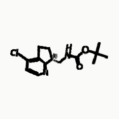 CC(C)(C)OC(=O)NC[C@H]1CCc2c(Cl)ccnc21